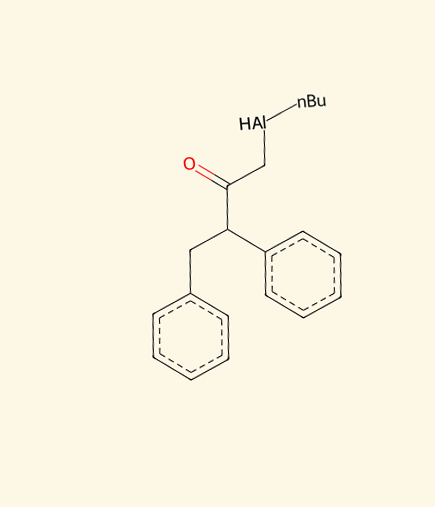 CCC[CH2][AlH][CH2]C(=O)C(Cc1ccccc1)c1ccccc1